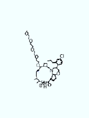 CCCc1cc(Cl)ccc1C1COc2ccc3cc2N(C1)CC1CCC1C(OCCOCCOCCOCCOC)/C=C/CC(C)C(C)[S+]([O-])NC3=O